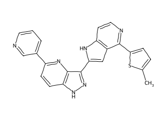 Cc1ccc(-c2nccc3[nH]c(-c4n[nH]c5ccc(-c6cccnc6)nc45)cc23)s1